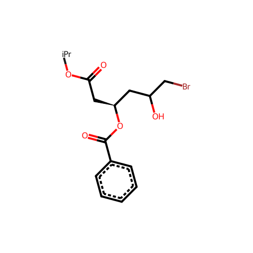 CC(C)OC(=O)C[C@@H](CC(O)CBr)OC(=O)c1ccccc1